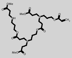 C=CC(=O)OCCCN(CCC(=O)OC)CCC(=O)OCCCN(CCC(=O)OC)CCC(=O)OCCCNCCC(=O)OC